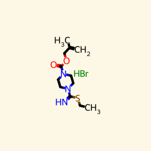 Br.C=C(C)COC(=O)N1CCN(C(=N)SCC)CC1